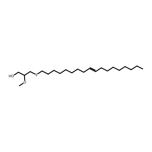 CCCCCCCC/C=C/CCCCCCCCSCC(CO)OC